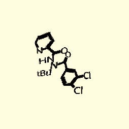 CC(C)(C)N(NC(=O)c1ccccn1)C(=O)c1ccc(Cl)c(Cl)c1